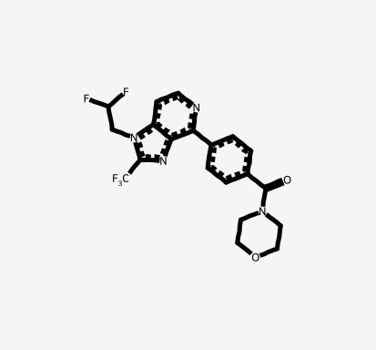 O=C(c1ccc(-c2nccc3c2nc(C(F)(F)F)n3CC(F)F)cc1)N1CCOCC1